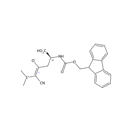 C[S+](C)/C(C#N)=C(\[O-])C[C@H](NC(=O)OCC1c2ccccc2-c2ccccc21)C(=O)O